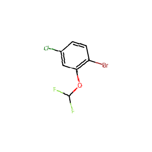 FC(F)Oc1cc(Cl)ccc1Br